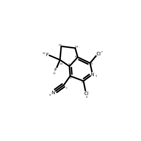 N#Cc1c(Cl)nc(Cl)c2c1C(F)(F)CC2